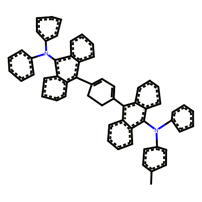 Cc1ccc(N(c2ccccc2)c2c3ccccc3c(C3=CC=C(c4c5ccccc5c(N(c5ccccc5)c5ccccc5)c5ccccc45)CC3)c3ccccc23)cc1